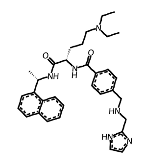 CCN(CC)CCC[C@H](NC(=O)c1ccc(CNCc2ncc[nH]2)cc1)C(=O)N[C@@H](C)c1cccc2ccccc12